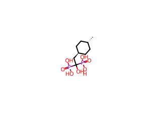 C[C@H]1CC[C@H](CC(O)(P(=O)(O)O)P(=O)(O)O)CC1